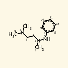 CN(C)CCN(C)Nc1ccccc1